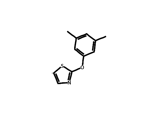 Cc1cc(C)cc(Oc2nc[c]s2)c1